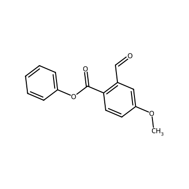 COc1ccc(C(=O)Oc2ccccc2)c(C=O)c1